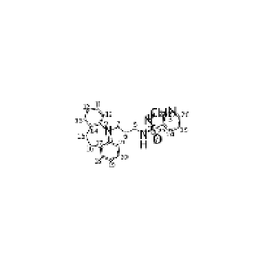 CN=S(=O)(NCCCN1c2ccccc2CCc2ccccc21)c1cccnc1